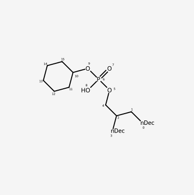 CCCCCCCCCCCC(CCCCCCCCCC)COP(=O)(O)OC1CCCCC1